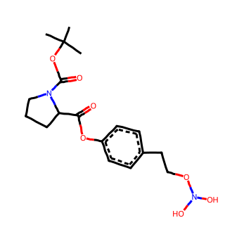 CC(C)(C)OC(=O)N1CCCC1C(=O)Oc1ccc(CCON(O)O)cc1